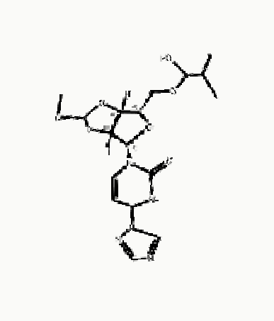 COC1O[C@@H]2[C@H](O1)[C@@H](COC(O)C(C)C)O[C@H]2N1C=CC(n2cncn2)NC1=O